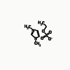 CCOS(=O)(=O)[O-].Cn1cc[n+](C)c1